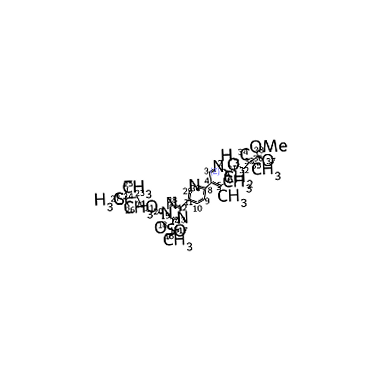 C=C(/N=C\C(=C(C)C)c1ccc(-c2nc(S(C)(=O)=O)n(COCC[Si](C)(C)C)n2)cn1)OCC(C)(C)C(=O)OC